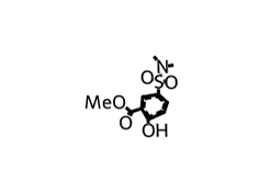 COC(=O)c1cc(S(=O)(=O)N(C)C)ccc1O